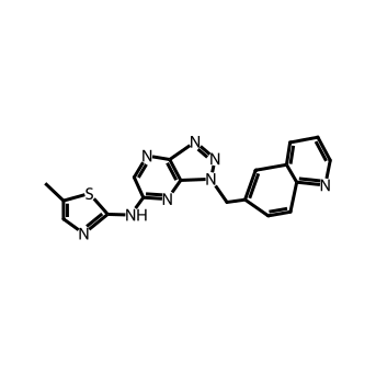 Cc1cnc(Nc2cnc3nnn(Cc4ccc5ncccc5c4)c3n2)s1